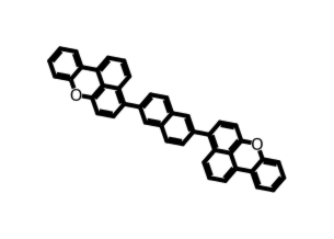 c1ccc2c(c1)Oc1ccc(-c3ccc4cc(-c5ccc6c7c(cccc57)-c5ccccc5O6)ccc4c3)c3cccc-2c13